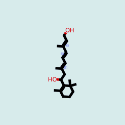 CC1=C(C(O)C/C(C)=C/C=C/C(C)=C/CO)C(C)(C)CCC1